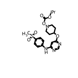 CC(C)OC(=O)ON1CCC(Oc2cc(Nc3ccc(S(C)(=O)=O)cc3)ncn2)CC1